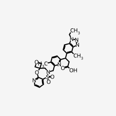 CCn1nnc2c(C)c(C(CC(=O)O)c3ccc(C)c(CN4CC5(COC5)Oc5ncccc5S4(=O)=O)n3)ccc21